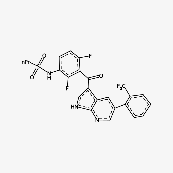 CCCS(=O)(=O)Nc1ccc(F)c(C(=O)c2c[nH]c3ncc(-c4ccccc4C(F)(F)F)cc23)c1F